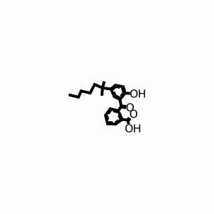 CCCCCC(C)(C)c1ccc(O)c(C(=O)c2ccccc2C(=O)O)c1